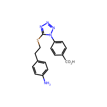 Nc1ccc(CCSc2nnnn2-c2ccc(C(=O)O)cc2)cc1